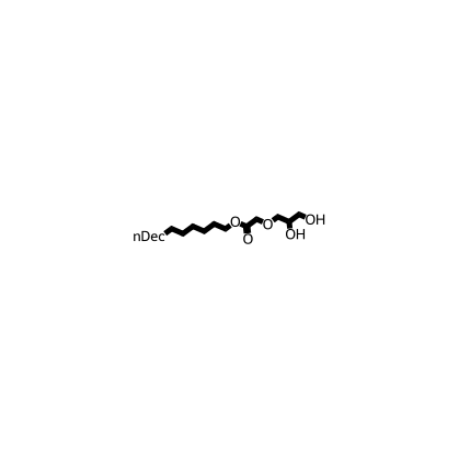 CCCCCCCCCCCCCCCCOC(=O)COCC(O)CO